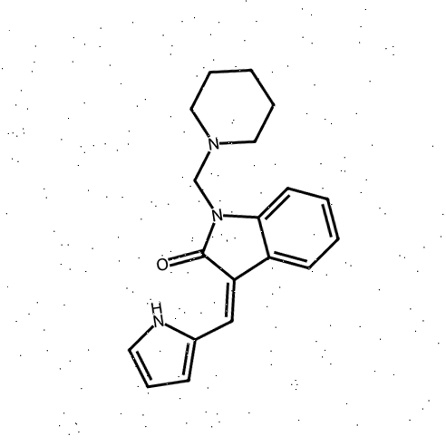 O=C1/C(=C\c2ccc[nH]2)c2ccccc2N1CN1CCCCC1